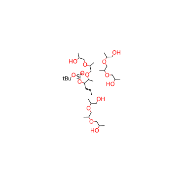 CC(O)COC(C)COC(C)CO.CC(O)COC(C)COC(C)CO.CC=CC(O[Si](=O)OC(C)(C)C)C(C)OCC(C)OCC(C)O